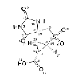 O=C1NC(=O)[C@@]2(CS(=O)(=O)[C@H]3[C@H](C(=O)O)[C@H]32)N1